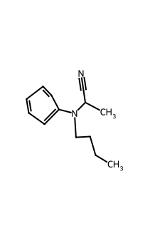 CCCCN(c1ccccc1)C(C)C#N